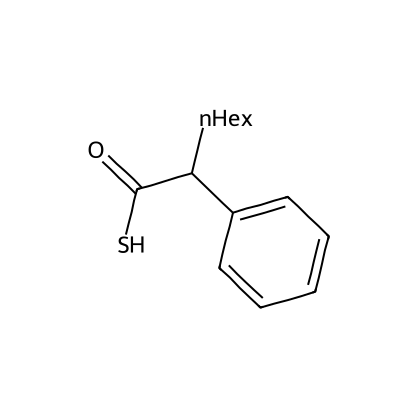 CCCCCCC(C(=O)S)c1ccccc1